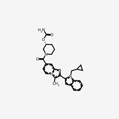 Cc1c(-c2cc3ccccc3n2CC2CC2)nc2cc(C(=O)N3CCC[C@@H](OC(N)=O)C3)ccn12